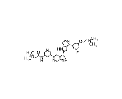 CN(C)CCOc1cc(F)cc(-c2nccc3[nH]c(-c4n[nH]c5cnc(-c6cncc(NC(=O)CN(C)C)c6)cc45)cc23)c1